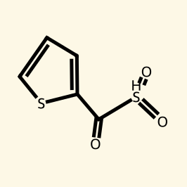 O=C(c1cccs1)[SH](=O)=O